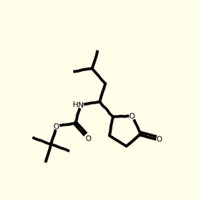 CC(C)CC(NC(=O)OC(C)(C)C)C1CCC(=O)O1